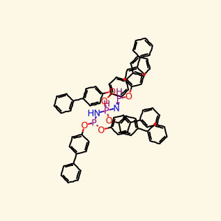 c1ccc(-c2ccc(OP(N[PH](N=[PH](Oc3ccc(-c4ccccc4)cc3)Oc3ccc(-c4ccccc4)cc3)(Oc3ccc(-c4ccccc4)cc3)Oc3ccc(-c4ccccc4)cc3)Oc3ccc(-c4ccccc4)cc3)cc2)cc1